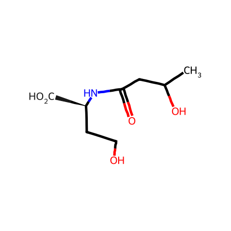 CC(O)CC(=O)N[C@@H](CCO)C(=O)O